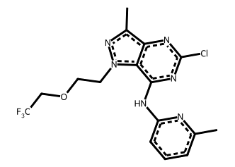 Cc1cccc(Nc2nc(Cl)nc3c(C)nn(CCOCC(F)(F)F)c23)n1